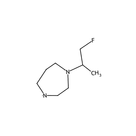 CC(CF)N1CCC[N]CC1